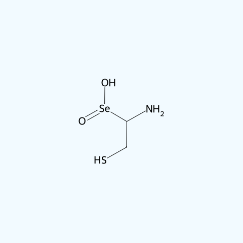 NC(CS)[Se](=O)O